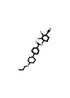 CCCOC1CCC(c2ccc(C(=O)Oc3ccc(C#N)c(F)c3F)cc2)CC1